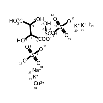 O=C([O-])C(O)C(O)C(=O)O.O=S(=O)(O)O.O=S(=O)([O-])[O-].O=S(=O)([O-])[O-].[Cu+2].[I-].[K+].[K+].[K+].[Na+]